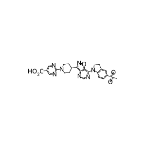 CS(=O)(=O)c1ccc2c(c1)CCN2c1ncnc2c(C3CCN(c4ncc(C(=O)O)cn4)CC3)noc12